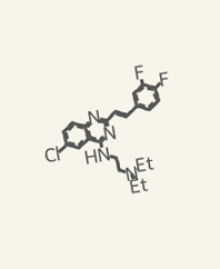 CCN(CC)CCNc1nc(/C=C/c2ccc(F)c(F)c2)nc2ccc(Cl)cc12